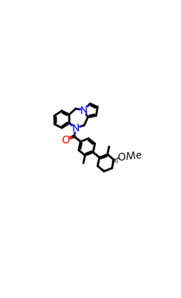 CO[C@@H]1CCCC(c2ccc(C(=O)N3Cc4cccn4Cc4ccccc43)cc2C)=C1C